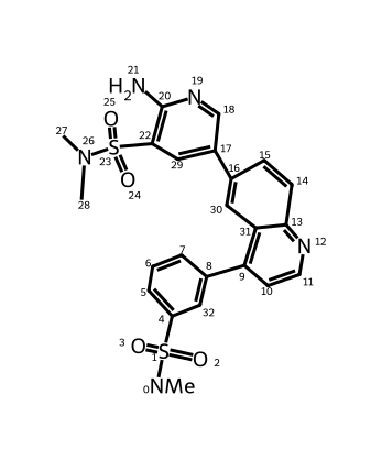 CNS(=O)(=O)c1cccc(-c2ccnc3ccc(-c4cnc(N)c(S(=O)(=O)N(C)C)c4)cc23)c1